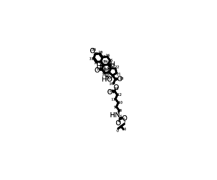 CC(C)(C)OC(=O)NCCCCCC(=O)OCC(=O)[C@@]1(O)CC[C@H]2[C@@H]3CCC4=CC(=O)C=C[C@]4(C)[C@H]3C(=O)C[C@@]21C